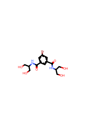 O=C(NC(CO)CO)c1cc(Br)cc(C(=O)NC(CO)CO)c1